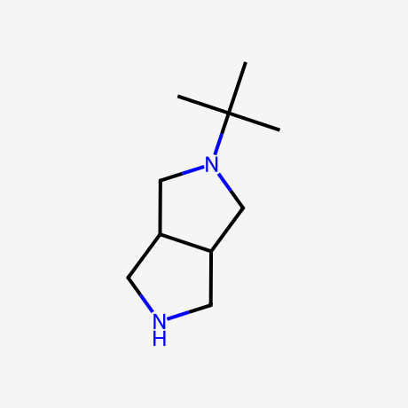 CC(C)(C)N1CC2CNCC2C1